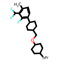 CCCC1CCC(OCC2CCC(c3ccc(C)c(C(F)F)c3F)CC2)CC1